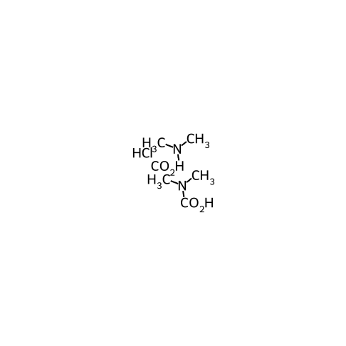 CN(C)C(=O)O.CN(C)C(=O)O.Cl